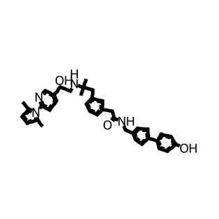 Cc1ccc(C)n1-c1ccc([C@H](O)CNC(C)(C)Cc2cccc(CC(=O)NCc3ccc(-c4ccc(O)cc4)cc3)c2)cn1